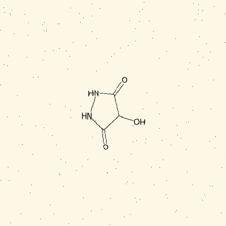 O=C1NNC(=O)C1O